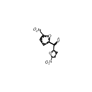 O=C(c1ccc([N+](=O)[O-])o1)c1ccc([N+](=O)[O-])o1